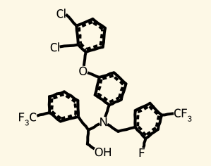 OCC(c1cccc(C(F)(F)F)c1)N(Cc1ccc(C(F)(F)F)cc1F)c1cccc(Oc2cccc(Cl)c2Cl)c1